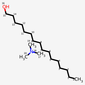 CCCCCCCCCCCCCCCCO.CN(C)C